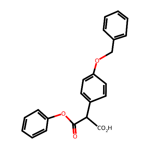 O=C(O)C(C(=O)Oc1ccccc1)c1ccc(OCc2ccccc2)cc1